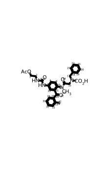 CC(=O)OCCNC(=O)Nc1ccc(N(C)C(=O)CN(Cc2ccccc2)C(=O)O)c(C(=O)c2ccccc2F)c1